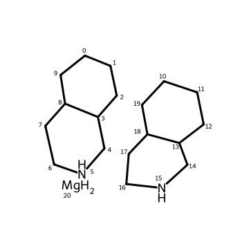 C1CCC2CNCCC2C1.C1CCC2CNCCC2C1.[MgH2]